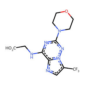 O=C(O)CNc1nc(N2CCOCC2)nn2c(C(F)(F)F)cnc12